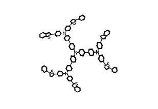 c1ccc(-c2ccc(-c3ccc(N(c4ccc(-c5ccc(N(c6ccc(-c7ccc(N(c8ccc(-c9ccc(-c%10ccccc%10)s9)cc8)c8ccc(-c9cc%10ccccc%10s9)cc8)cc7)cc6)c6ccc(-c7ccc(N(c8ccc(-c9ccc(-c%10ccccc%10)s9)cc8)c8ccc(-c9cc%10ccccc%10s9)cc8)cc7)cc6)cc5)cc4)c4ccc(-c5cc6ccccc6s5)cc4)cc3)s2)cc1